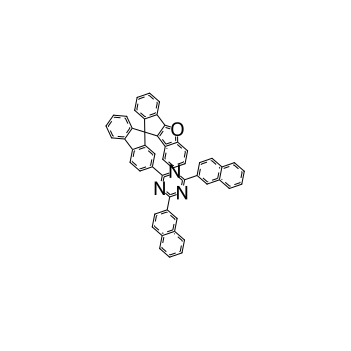 c1ccc2c(c1)-c1ccc(-c3nc(-c4ccc5ccccc5c4)nc(-c4ccc5ccccc5c4)n3)cc1C21c2ccccc2-c2oc3ccccc3c21